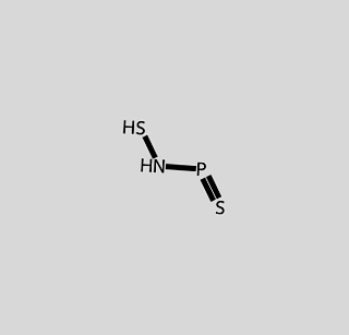 S=PNS